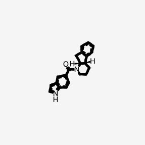 O=C(c1ccc2[nH]ccc2c1)N1CCC[C@H]2c3ccccc3C[C@H]21